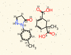 CC1(C(=O)O)C=CC=C(C(=O)O)C1.Cc1ccc(N2N=CCC2=O)cc1